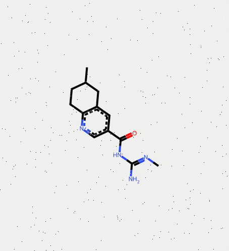 CN=C(N)NC(=O)c1cnc2c(c1)CC(C)CC2